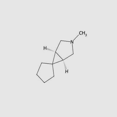 CN1C[C@@H]2[C@H](C1)C21CCCC1